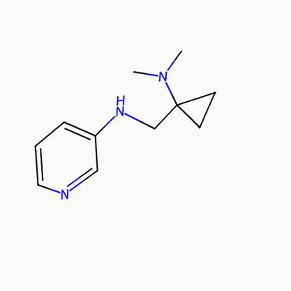 CN(C)C1(CNc2cccnc2)CC1